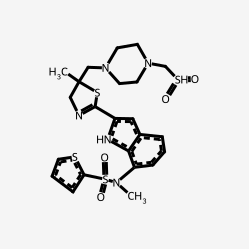 CN(c1cccc2cc(C3=NCC(C)(CN4CCN(C[SH](=O)=O)CC4)S3)[nH]c12)S(=O)(=O)c1cccs1